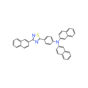 c1ccc2cc(-c3nsc(-c4ccc(N(c5ccc6ccccc6c5)c5ccc6ccccc6c5)cc4)n3)ccc2c1